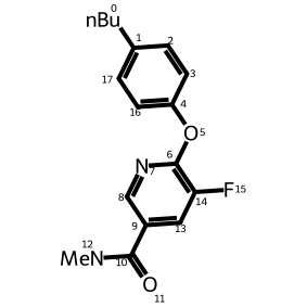 CCCCc1ccc(Oc2ncc(C(=O)NC)cc2F)cc1